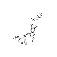 CCOc1cc(O[C@@H]2C[C@@H](C(=O)OC)N(C(=O)OC(C)(C)C)C2)c2cc(/C=C/CC(C)(C)CO[Si](C)(C)C(C)(C)C)c(OC)cc2n1